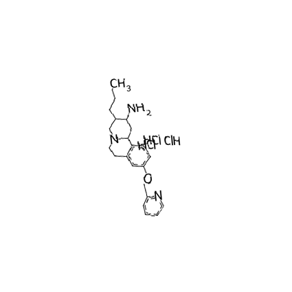 CCCCC1CN2CCc3cc(OCc4ccccn4)ccc3C2CC1N.Cl.Cl.Cl